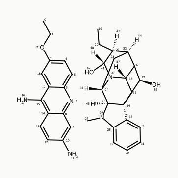 CCOc1ccc2nc3cc(N)ccc3c(N)c2c1.CC[C@H]1[C@@H]2C[C@H]3[C@@H]4N(C)c5ccccc5[C@]45C[C@@H](C2[C@H]5O)N3[C@@H]1O